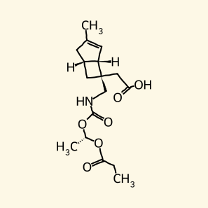 CCC(=O)O[C@H](C)OC(=O)NC[C@@]1(CC(=O)O)C[C@@H]2CC(C)=C[C@@H]21